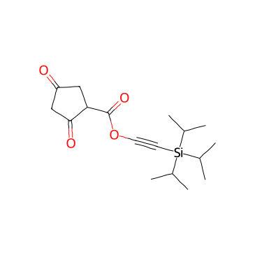 CC(C)[Si](C#COC(=O)C1CC(=O)CC1=O)(C(C)C)C(C)C